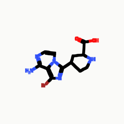 Nc1nccn2c(C3CCNC(C(=O)O)C3)nc(Br)c12